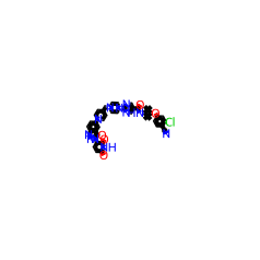 CC1(C)C(NC(=O)c2cnc(N3CCN(CC4CCN(c5ccc6nnn(C7CCC(=O)NC7=O)c(=O)c6c5)CC4)CC3)nc2)C(C)(C)C1Oc1ccc(C#N)c(Cl)c1